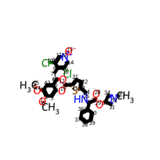 COc1ccc([C@H](Cc2c(Cl)c[n+]([O-])cc2Cl)OC(=O)c2ccc(CNC(C(=O)OC3CN(C)C3)c3ccccc3)s2)cc1OC